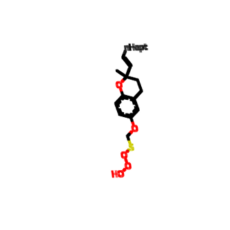 CCCCCCC/C=C/C1(C)CCc2cc(OCSOOO)ccc2O1